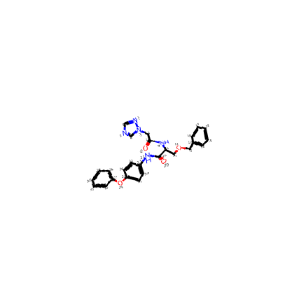 O=C(Cn1cncn1)NC(COCc1ccccc1)C(=O)Nc1ccc(Oc2ccccc2)cc1